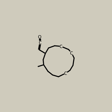 CC1CCCCCCCCCCCCC(C=C=O)C1